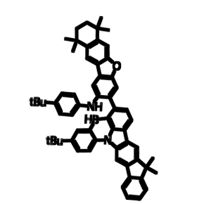 CC(C)(C)c1ccc(Nc2cc3c(cc2-c2ccc4c5cc6c(cc5n5c4c2Bc2cc(C(C)(C)C)ccc2-5)-c2ccccc2C6(C)C)oc2cc4c(cc23)C(C)(C)CCC4(C)C)cc1